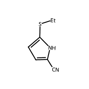 CCSc1ccc(C#N)[nH]1